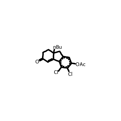 CCCCC12CCC(=O)C=C1c1c(cc(OC(C)=O)c(Cl)c1Cl)C2